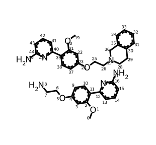 COc1cc(OCCN)ccc1-c1cccc(N)n1.COc1cc(OCCN2CCc3ccccc3C2)ccc1-c1cccc(N)n1